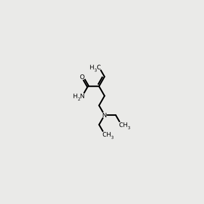 CC=C(CCN(CC)CC)C(N)=O